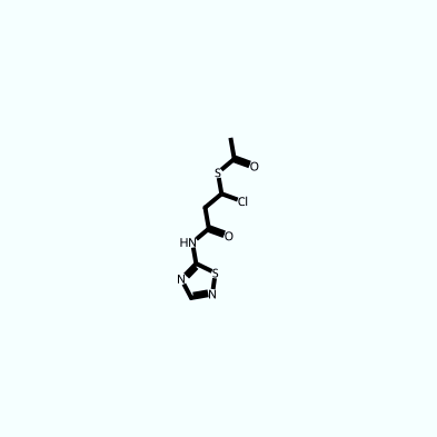 CC(=O)SC(Cl)CC(=O)Nc1ncns1